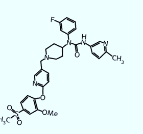 COc1cc(S(C)(=O)=O)ccc1Oc1ccc(CN2CCC(N(C(=O)Nc3ccc(C)nc3)c3cccc(F)c3)CC2)cn1